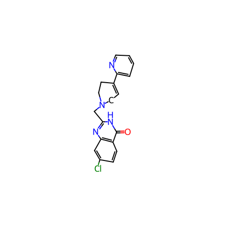 O=c1[nH]c(CN2CC=C(c3ccccn3)CC2)nc2cc(Cl)ccc12